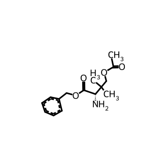 CC(=O)OCC(C)(C)[C@H](N)C(=O)OCc1ccccc1